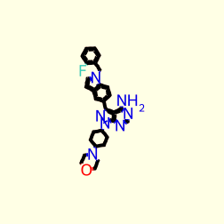 Nc1ncnc2c1c(-c1ccc3c(ccn3Cc3ccccc3F)c1)nn2C1CCC(N2CCOCC2)CC1